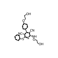 N#Cc1c(NOCCO)nc(Sc2ccccc2)c(C#N)c1-c1ccc(OCCO)cc1